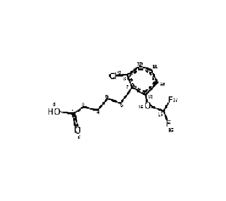 O=C(O)CCCCc1c(Cl)cccc1OC(F)F